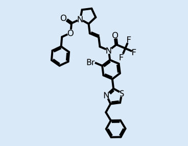 O=C(OCc1ccccc1)N1CCCC1C=CCN(C(=O)C(F)(F)F)c1ccc(-c2nc(Cc3ccccc3)cs2)cc1Br